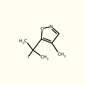 Cc1cnoc1C(C)(C)I